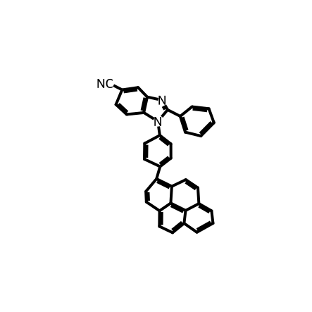 N#Cc1ccc2c(c1)nc(-c1ccccc1)n2-c1ccc(-c2ccc3ccc4cccc5ccc2c3c45)cc1